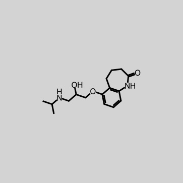 CC(C)NCC(O)COc1cccc2c1CCCC(=O)N2